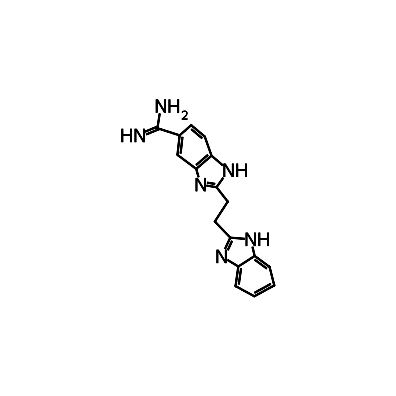 N=C(N)c1ccc2[nH]c(CCc3nc4ccccc4[nH]3)nc2c1